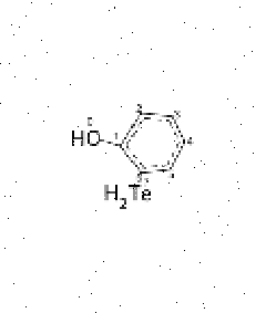 Oc1ccccc1.[TeH2]